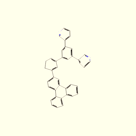 C1=C(c2cc(-c3cccnc3)cc(-c3cccnc3)c2)C=C(c2ccc3c4ccccc4c4ccccc4c3c2)CC1